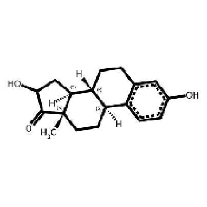 C[C@]12CC[C@@H]3c4ccc(O)cc4CC[C@H]3[C@@H]1CC(O)C2=O